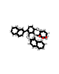 S=P12c3c(ccc(-c4ccc5ccccc5c4)c3Oc3ccc4ccccc4c31)Oc1ccc3ccccc3c12